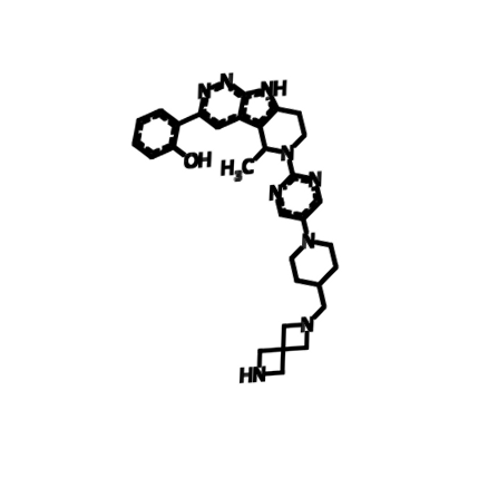 CC1c2c([nH]c3nnc(-c4ccccc4O)cc23)CCN1c1ncc(N2CCC(CN3CC4(CNC4)C3)CC2)cn1